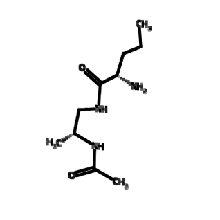 CCC[C@H](N)C(=O)NC[C@@H](C)NC(C)=O